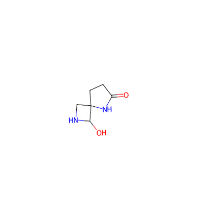 O=C1CCC2(CNC2O)N1